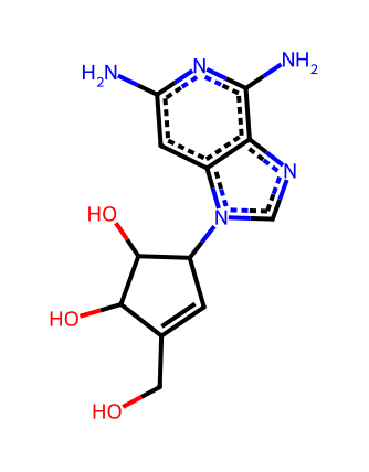 Nc1cc2c(ncn2C2C=C(CO)C(O)C2O)c(N)n1